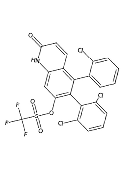 O=c1ccc2c(-c3ccccc3Cl)c(-c3c(Cl)cccc3Cl)c(OS(=O)(=O)C(F)(F)F)cc2[nH]1